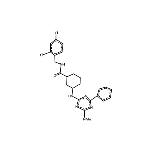 CNc1nc(NC2CCCC(C(=O)NCc3ccc(Cl)cc3Cl)C2)nc(-c2ccccc2)n1